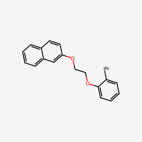 CC(C)c1ccccc1OCCOc1ccc2ccccc2c1